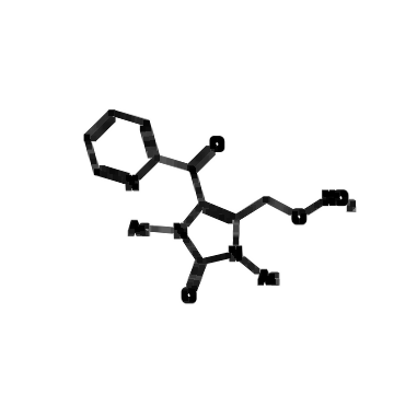 CC(=O)n1c(CO[N+](=O)[O-])c(C(=O)c2ccccn2)n(C(C)=O)c1=O